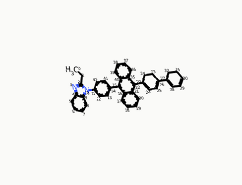 CCc1nc2ccccc2n1-c1ccc(-c2c3ccccc3c(C3=CC=C(C4=CC=CCC4)CC3)c3ccccc23)cc1